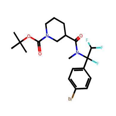 CN(C(=O)C1CCCN(C(=O)OC(C)(C)C)C1)C(F)(c1ccc(Br)cc1)C(F)F